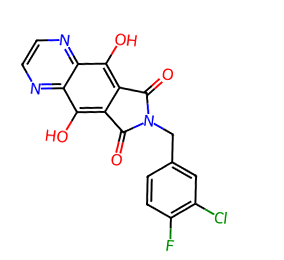 O=C1c2c(c(O)c3nccnc3c2O)C(=O)N1Cc1ccc(F)c(Cl)c1